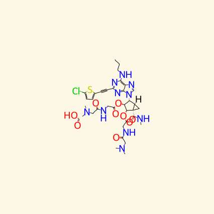 CCCNc1nc(C#Cc2ccc(Cl)s2)nc2c1ncn2[C@H]1[C@H](OC(=O)CNC(=O)CN(C)C)[C@H](OC(=O)CNC(=O)CN(C)C)[C@]2(C(=O)NC)C[C@H]12.O=CO